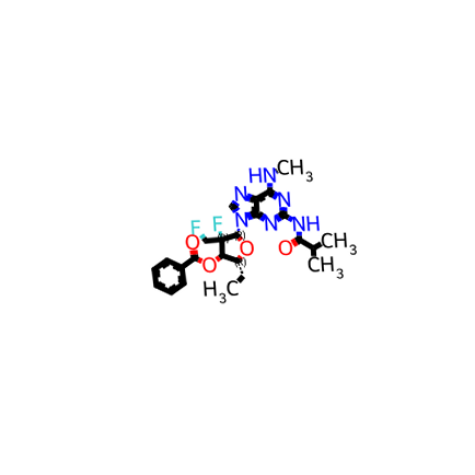 CC[C@H]1O[C@@H](n2cnc3c(NC)nc(NC(=O)C(C)C)nc32)[C@@](F)(CF)C1OC(=O)c1ccccc1